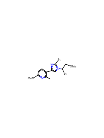 CCc1nc(-c2ccc(OC)nc2C)cn1C(CC)COC